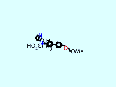 COCCOCc1ccc(-c2ccc(C(C)(C)N(C(=O)O)C3CN4CCC3CC4)cc2)cc1